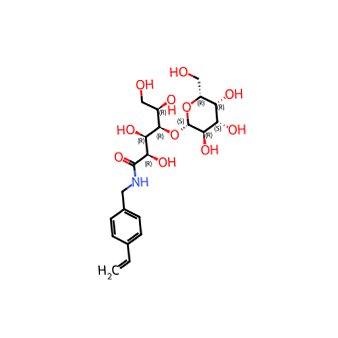 C=Cc1ccc(CNC(=O)[C@H](O)[C@@H](O)[C@H](O[C@@H]2O[C@H](CO)[C@H](O)[C@H](O)[C@H]2O)[C@H](O)CO)cc1